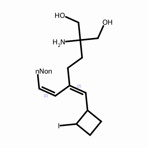 CCCCCCCCC/C=C\C(=C/C1CCC1I)CCC(N)(CO)CO